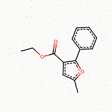 CCOC(=O)c1cc(C)oc1-c1ccccc1